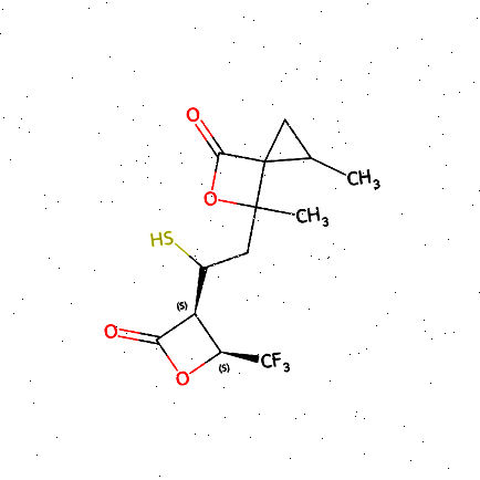 CC1CC12C(=O)OC2(C)CC(S)[C@@H]1C(=O)O[C@@H]1C(F)(F)F